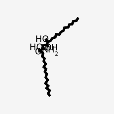 CCCCCCCCCCCCCCCCCC(=O)C(N)(O)CC(O)C(O)CCCCCCCCCCCCCC